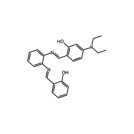 CCN(CC)c1ccc(C=Nc2ccccc2N=Cc2ccccc2O)c(O)c1